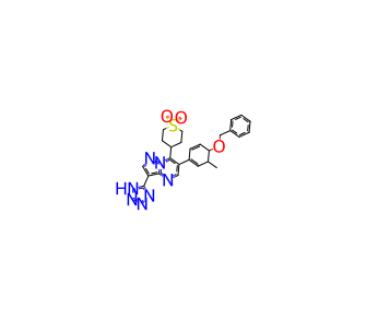 CC1C=C(c2cnc3c(-c4nnn[nH]4)cnn3c2C2CCS(=O)(=O)CC2)C=CC1OCc1ccccc1